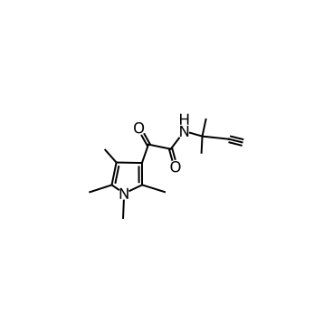 C#CC(C)(C)NC(=O)C(=O)c1c(C)c(C)n(C)c1C